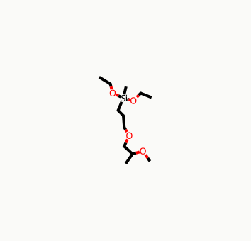 CCO[Si](C)(CCCOCC(C)OC)OCC